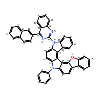 c1ccc(-n2c3ccc4c5ccccc5oc4c3c3c4c5ccccc5n(-c5nc(-c6ccc7ccccc7c6)c6ccccc6n5)c4ccc32)cc1